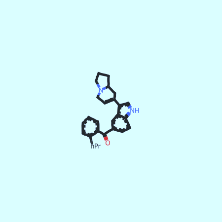 CCCc1ccccc1C(=O)c1ccc2[nH]cc(C3=CCN4CCCC4C3)c2c1